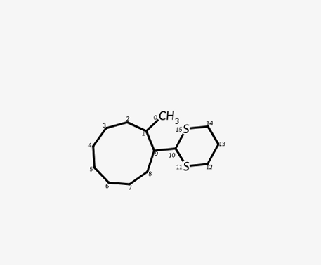 CC1CCCCCCCC1C1SCCCS1